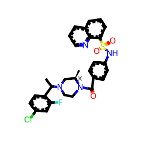 CC(c1ccc(Cl)cc1F)N1CCN(C(=O)c2ccc(NS(=O)(=O)c3cccc4cccnc34)cc2)[C@H](C)C1